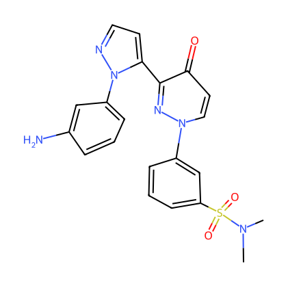 CN(C)S(=O)(=O)c1cccc(-n2ccc(=O)c(-c3ccnn3-c3cccc(N)c3)n2)c1